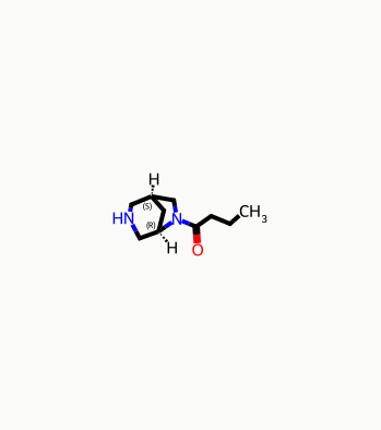 CCCC(=O)N1C[C@@H]2CNC[C@H]1C2